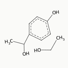 CC(O)c1ccc(O)cc1.CCO